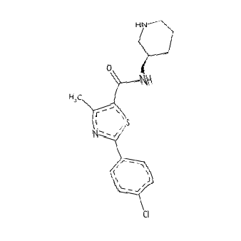 Cc1nc(-c2ccc(Cl)cc2)sc1C(=O)N[C@@H]1CCCNC1